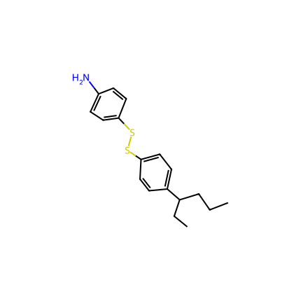 CCCC(CC)c1ccc(SSc2ccc(N)cc2)cc1